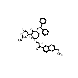 CCC(NC(=N)N)[C@@H]1N[C@H](CNC(=O)c2ccc3cc(OC)ccc3c2)CCN(CC(c2ccccc2)c2ccccc2)C1=O